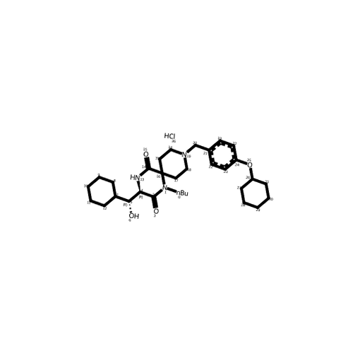 CCCCN1C(=O)[C@@H]([C@H](O)C2CCCCC2)NC(=O)C12CCN(Cc1ccc(OC3CCCCC3)cc1)CC2.Cl